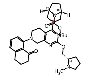 CN1CCC[C@H]1COc1nc2c(c(N3C[C@H]4CC[C@@H](C3)N4C(=O)OC(C)(C)C)n1)CCN(c1cccc3c1C(=O)CCC3)C2